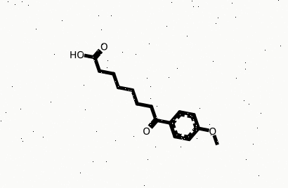 COc1ccc(C(=O)CCCCCCC(=O)O)cc1